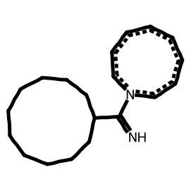 N=C(C1CCCCCCCCCC1)n1cccccccc1